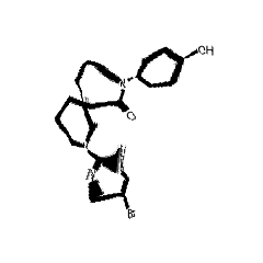 O=C1N([C@H]2CC[C@H](O)CC2)CC[C@@]12CCCN(c1ncc(Br)cn1)C2